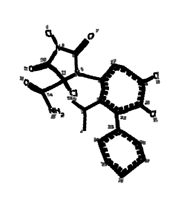 CC(C)c1c(N2C(=O)N(Cl)C(=O)C2(Cl)C(N)=O)cc(Cl)c(Cl)c1-c1ccccc1